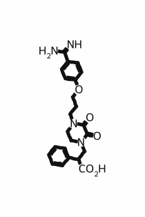 N=C(N)c1ccc(OCCCN2CCN(CC(C(=O)O)c3ccccc3)C(=O)C2=O)cc1